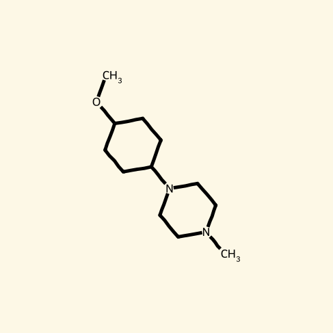 COC1CCC(N2CCN(C)CC2)CC1